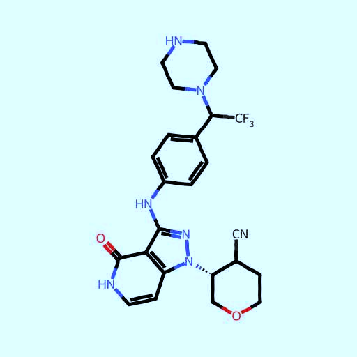 N#CC1CCOC[C@@H]1n1nc(Nc2ccc(C(N3CCNCC3)C(F)(F)F)cc2)c2c(=O)[nH]ccc21